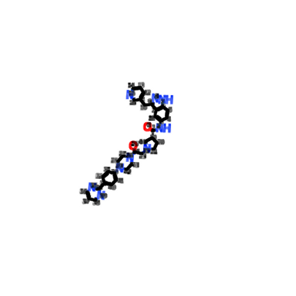 O=C(Nc1ccc2[nH]nc(Cc3cccnc3)c2c1)[C@@H]1CCN(CC(=O)N2CCN(c3ccc(-c4ncccn4)cc3)CC2)C1